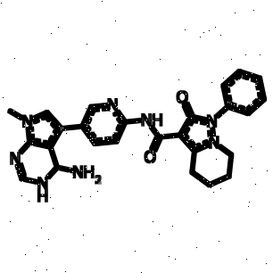 Cn1cc(-c2ccc(NC(=O)c3c4n(n(-c5ccccc5)c3=O)CCCC4)nc2)c2c1N=CNC2N